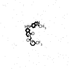 Cn1ncc2cc(Nc3ccc4ccn(CC(=O)N5CCCC(C(F)(F)F)C5)c(=O)c4c3)ccc21